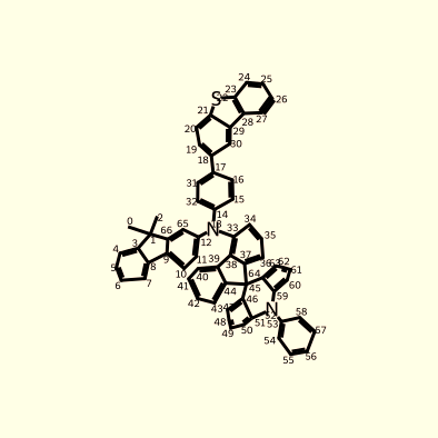 CC1(C)c2ccccc2-c2ccc(N(c3ccc(-c4ccc5sc6ccc#cc6c5c4)cc3)c3cccc4c3-c3ccccc3C43c4ccccc4N(c4ccccc4)c4ccccc43)cc21